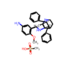 COc1ccc(N)cc1CN[C@]1(c2ccccc2)C2CCN(CC2)[C@@]1(C)c1ccccc1.CS(=O)(=O)O